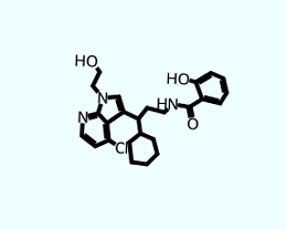 O=C(NCCC(c1cn(CCO)c2nccc(Cl)c12)C1CCCCC1)c1ccccc1O